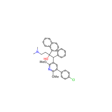 COc1nc(OC)c(C(c2ccccc2)C(O)(CCN(C)C)c2cccc3ccccc23)cc1-c1ccc(Cl)cc1